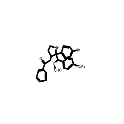 COc1ccc(C(OC=O)C2(c3ccc(Br)cc3)NCCC2CC(=O)c2ccccc2)cc1